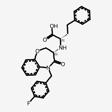 O=C(O)[C@H](CCc1ccccc1)N[C@H]1COc2ccccc2N(Cc2ccc(F)cc2)C1=O